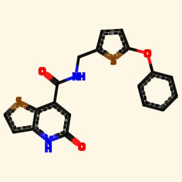 O=C(NCc1ccc(Oc2ccccc2)s1)c1cc(=O)[nH]c2ccsc12